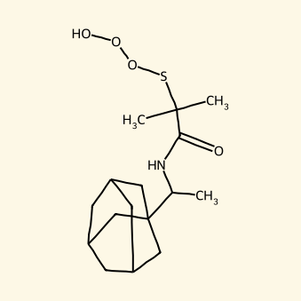 CC(NC(=O)C(C)(C)SOOO)C12CC3CC(CC(C3)C1)C2